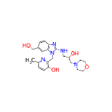 Cc1ccc(O)c(Cn2c(NCC(O)CN3CCOCC3)nc3ccc(CO)cc32)n1